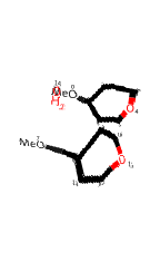 COC1CCOCC1.COC1CCOCC1.O